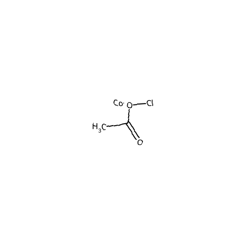 CC(=O)OCl.[Co]